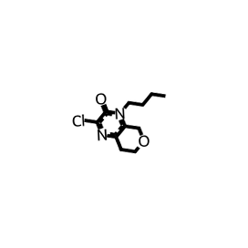 CCCCn1c2c(nc(Cl)c1=O)CCOC2